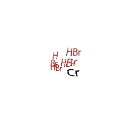 Br.Br.Br.Br.[Cr]